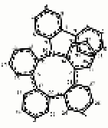 c1ccc(-c2ccccc2-n2c3ccccc3c3ccccc3c3ccccc3c3ccccc32)cc1